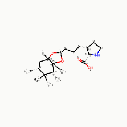 C[C@@H]1C[C@@H]2OB(CCC[C@@H]3CCN[C@@H]3C(=O)O)O[C@]2(C)[C@H](C)C1(C)C